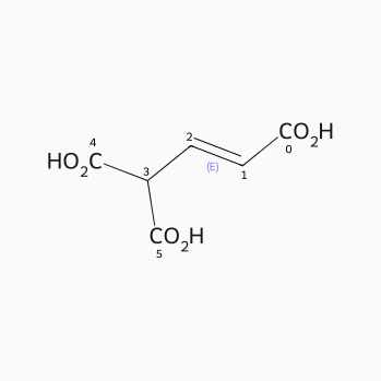 O=C(O)/C=C/C(C(=O)O)C(=O)O